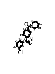 Cc1nc2cc(C(=O)N3CCCCC3)ccc2n1-c1cccc(Cl)c1